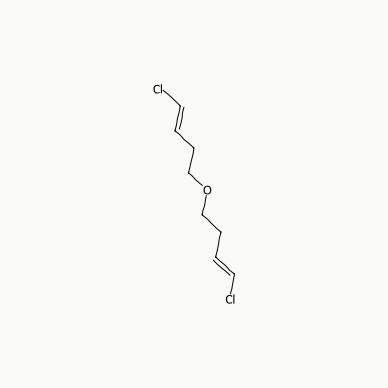 ClC=CCCOCCC=CCl